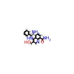 NC[C@@H](Nc1c(CO)cnc2c(C(N)=O)cccc12)c1ccccc1